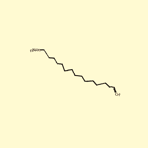 [CH]=CCCCCCCCCCCCCCCCCCCCCCCC